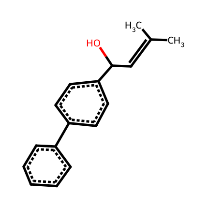 CC(C)=CC(O)c1ccc(-c2ccccc2)cc1